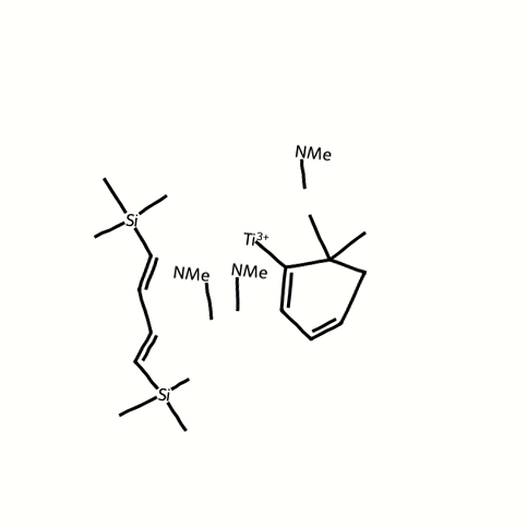 CC1(C)CC=CC=[C]1[Ti+3].C[N-]C.C[N-]C.C[N-]C.C[Si](C)(C)C=CC=C[Si](C)(C)C